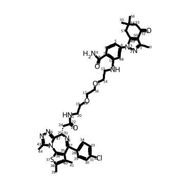 Cc1nn(-c2ccc(C(N)=O)c(NCCOCCOCCNC(=O)C[C@@H]3N=C(c4ccc(Cl)cc4)c4c(sc(C)c4C)-n4c(C)nnc43)c2)c2c1C(=O)CC(C)(C)C2